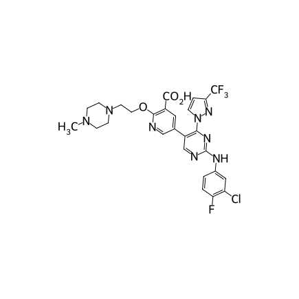 CN1CCN(CCOc2ncc(-c3cnc(Nc4ccc(F)c(Cl)c4)nc3-n3ccc(C(F)(F)F)n3)cc2C(=O)O)CC1